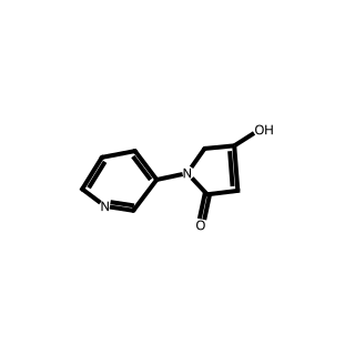 O=C1C=C(O)CN1c1cccnc1